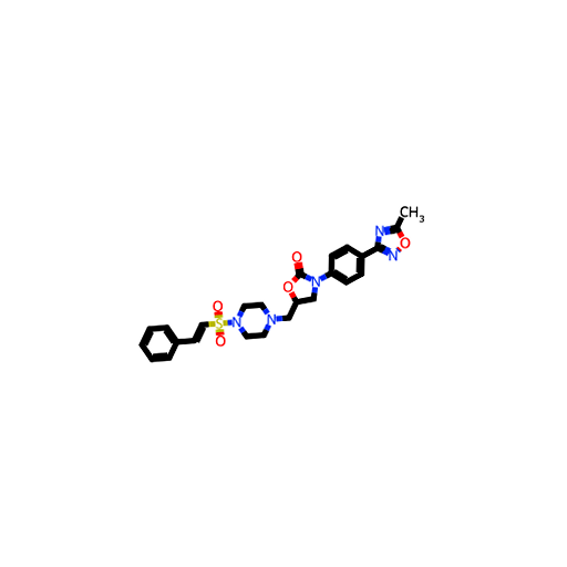 Cc1nc(-c2ccc(N3CC(CN4CCN(S(=O)(=O)C=Cc5ccccc5)CC4)OC3=O)cc2)no1